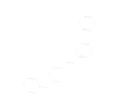 c1ccc(Oc2ccc(CCN3CCN(CC4CCCCC4)CC3)cc2)cc1